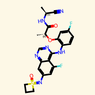 C[C@@H](C#N)NC(=O)[C@@H](C)Oc1cc(F)ccc1Nc1ncnc2cc(N=S3(=O)CCC3)cc(F)c12